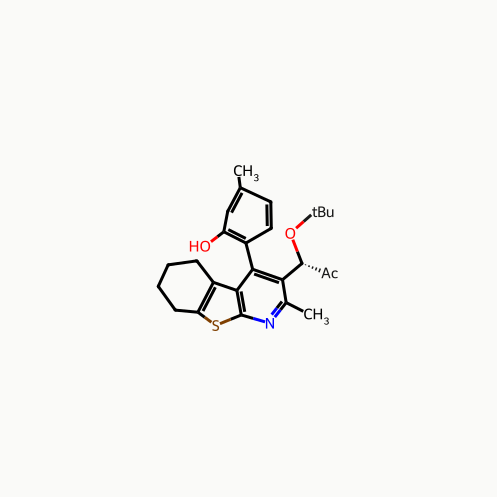 CC(=O)[C@@H](OC(C)(C)C)c1c(C)nc2sc3c(c2c1-c1ccc(C)cc1O)CCCC3